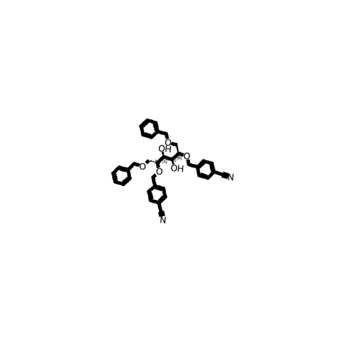 N#Cc1ccc(CO[C@H](COCc2ccccc2)[C@@H](O)[C@H](O)[C@@H](COCc2ccccc2)OCc2ccc(C#N)cc2)cc1